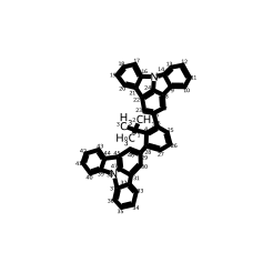 CC(C)(C)c1c(-c2cc3c4ccccc4n4c5ccccc5c(c2)c34)cccc1-c1cc2c3ccccc3n3c4ccccc4c(c1)c23